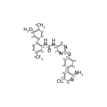 Cc1ccc(-c2ccc(C(F)(F)F)cc2NC(=O)Nc2cnc(Oc3ccc(-c4cc(Cl)cnc4N)cc3)nc2)cc1C